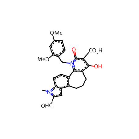 COc1ccc(Cn2c3c(c(O)c(C(=O)O)c2=O)CCCc2c-3ccc3c2cc(C=O)n3C)c(OC)c1